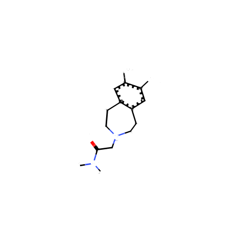 COc1cc2c(cc1[AsH2])CCN(CC(=O)N(C)C)CC2